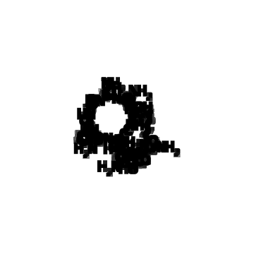 CC(C)C[C@@H]1NC(=O)[C@@H](Cc2ccccc2)NC(=O)[C@H](CCN)NC(=O)[C@@H](NC(=O)[C@H](CCN)NC(=O)[C@@H](NC(=O)[C@H](CCN)NC(=O)CCCCN(C)C)[C@@H](C)O)CCNC(=O)[C@H]([C@@H](C)O)NC(=O)[C@H](CCN)NC(=O)[C@H](CCN)NC1=O